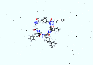 O=C(O)CCNC(=O)C1NC(=O)[C@@H](Cc2ccccc2)NC(=O)[C@H](Cc2ccc(-c3ccccc3)cc2)NC(=O)[C@@H](CCc2ccccc2)NC(=O)CCNC(=O)c2ccc1cc2